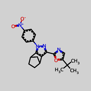 CC(C)(C)c1cnc(-c2nn(-c3ccc([N+](=O)[O-])cc3)c3c2C2CCC3C2)o1